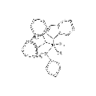 CC1=Cc2ccccc2[CH]1[Hf]([CH3])([CH3])([CH]1C(C)=Cc2ccccc21)[SiH](c1ccccc1)c1ccccc1